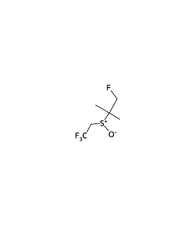 CC(C)(CF)[S+]([O-])CC(F)(F)F